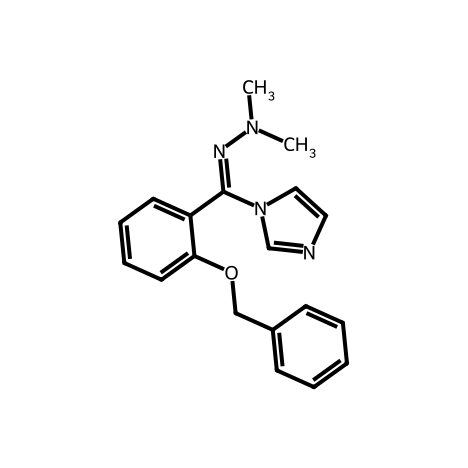 CN(C)N=C(c1ccccc1OCc1ccccc1)n1ccnc1